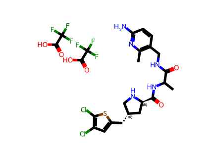 Cc1nc(N)ccc1CNC(=O)C(C)NC(=O)[C@H]1C[C@H](Cc2cc(Cl)c(Cl)s2)CN1.O=C(O)C(F)(F)F.O=C(O)C(F)(F)F